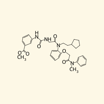 COC(=O)c1cccc(NC(=O)NCC(=O)N(CCC2CCCC2)c2ccccc2OCC(=O)N(C)c2ccccc2)c1